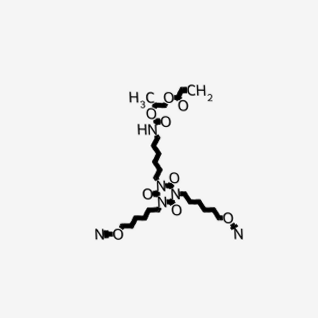 C=CC(=O)OCC(C)OC(=O)NCCCCCCn1c(=O)n(CCCCCCOC#N)c(=O)n(CCCCCCOC#N)c1=O